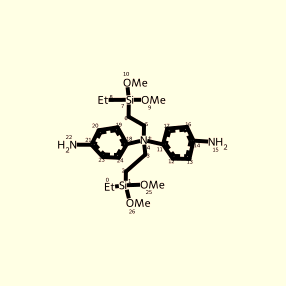 CC[Si](CC[N+](CC[Si](CC)(OC)OC)(c1ccc(N)cc1)c1ccc(N)cc1)(OC)OC